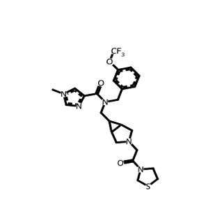 Cn1cnc(C(=O)N(Cc2cccc(OC(F)(F)F)c2)CC2C3CN(CC(=O)N4CCSC4)CC32)c1